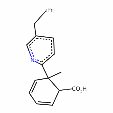 CC(C)Cc1ccc(C2(C)C=CC=CC2C(=O)O)nc1